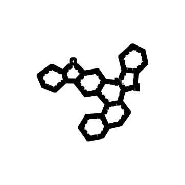 c1ccc2c(c1)ccc1c2c2cc3c(cc2n2c4ccccc4nc12)oc1ccccc13